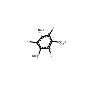 CC(=O)Nc1c(I)cc(I)c(C(=O)O)c1I.[NaH]